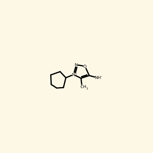 Cc1c([NH-])on[n+]1C1CCCCC1